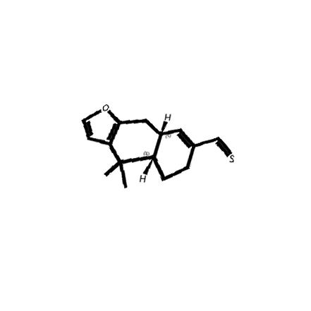 CC1(C)c2ccoc2C[C@@H]2C=C(C=S)CC[C@@H]21